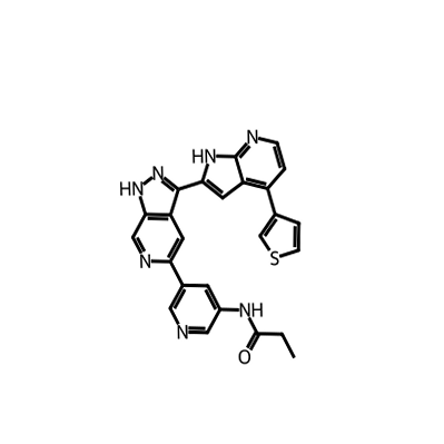 CCC(=O)Nc1cncc(-c2cc3c(-c4cc5c(-c6ccsc6)ccnc5[nH]4)n[nH]c3cn2)c1